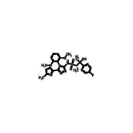 COc1cccc(OC)c1-n1c(NS(=O)(=O)[C@@H](C)[C@](C)(O)c2ncc(F)cn2)nnc1-c1ccc(C)o1